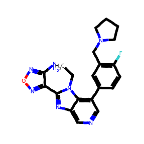 CCn1c(-c2nonc2N)nc2cncc(-c3ccc(F)c(CN4CCCC4)c3)c21